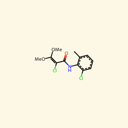 COC(OC)=C(Cl)C(=O)Nc1c(C)cccc1Cl